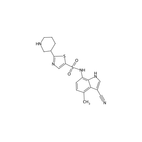 Cc1ccc(NS(=O)(=O)c2cnc(C3CCCNC3)s2)c2[nH]cc(C#N)c12